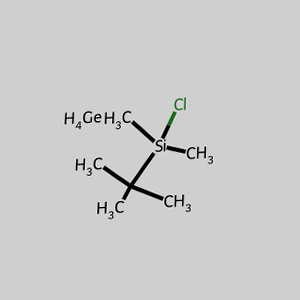 CC(C)(C)[Si](C)(C)Cl.[GeH4]